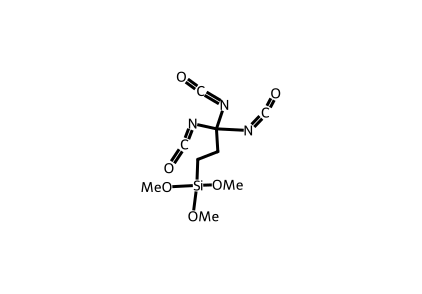 CO[Si](CCC(N=C=O)(N=C=O)N=C=O)(OC)OC